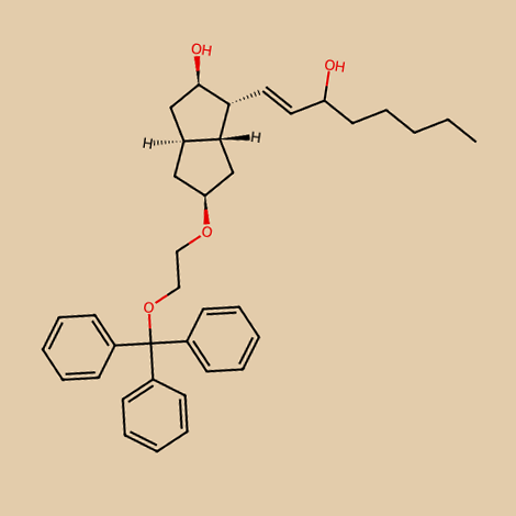 CCCCCC(O)C=C[C@@H]1[C@@H]2C[C@@H](OCCOC(c3ccccc3)(c3ccccc3)c3ccccc3)C[C@H]2C[C@H]1O